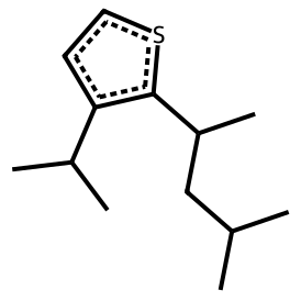 CC(C)CC(C)c1sccc1C(C)C